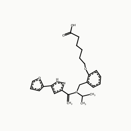 C=C(c1cc(-c2ccco2)[nH]n1)N(Cc1ccccc1OCCCCCC(=O)O)C(C)C